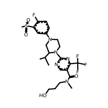 CC(C)C1CN(c2ccc(F)c(S(C)(=O)=O)c2)CCN1c1ncc(C(=O)N(C)CCCO)c(C(F)(F)F)n1